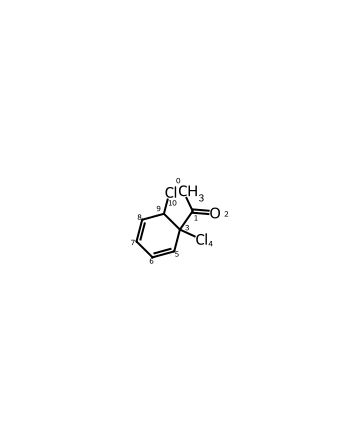 CC(=O)C1(Cl)C=CC=CC1Cl